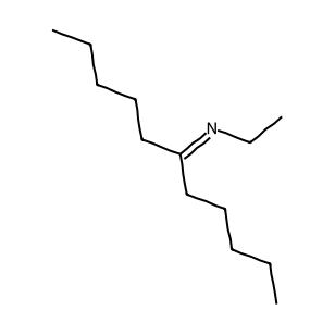 CCCCCC(CCCCC)=NCC